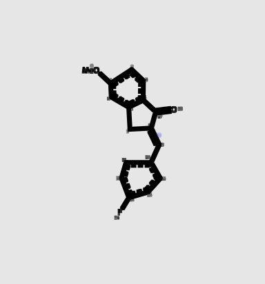 COc1ccc2c(c1)C/C(=C\c1ccc(F)cc1)C2=O